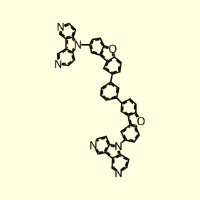 c1cc(-c2ccc3oc4ccc(-n5c6ccncc6c6cnccc65)cc4c3c2)cc(-c2ccc3oc4ccc(-n5c6ccncc6c6cnccc65)cc4c3c2)c1